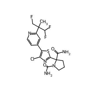 CC(CF)(c1cc(-c2sc(C3(C(N)=O)CCCN3C(N)=O)nc2Cl)ccn1)C(F)F